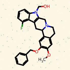 COc1cc2c(cc1OCc1ccccc1)C1Cc3c(n(CO)c4cccc(F)c34)CN1CC2